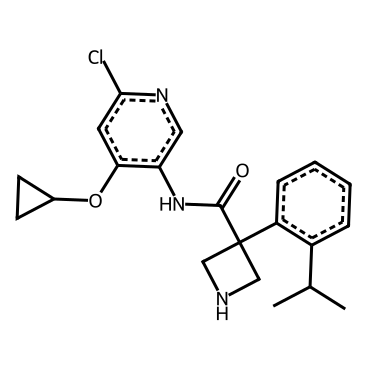 CC(C)c1ccccc1C1(C(=O)Nc2cnc(Cl)cc2OC2CC2)CNC1